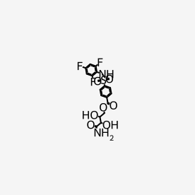 NC(=O)C(O)C(O)COC(=O)c1ccc(S(=O)(=O)Nc2c(F)cc(F)cc2F)cc1